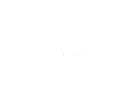 COC(=O)C(N)CC1CC2(CCN(C(=O)C(C)(C)C)CC2)NC1=O.Cl